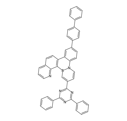 C1=CN2B(C=C1c1nc(-c3ccccc3)nc(-c3ccccc3)n1)c1c(ccc3cccnc13)-c1cc(-c3ccc(-c4ccccc4)cc3)ccc12